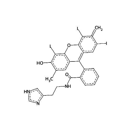 C=c1c(I)cc2c(c1I)Oc1c(cc(C)c(O)c1I)C=2c1ccccc1C(=O)NCCc1c[nH]cn1